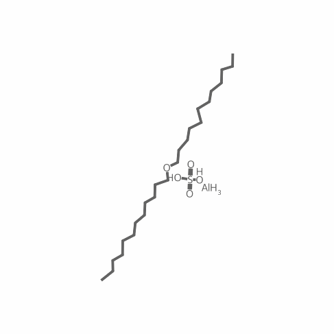 CCCCCCCCCCCCOCCCCCCCCCCCC.O=S(=O)(O)O.[AlH3]